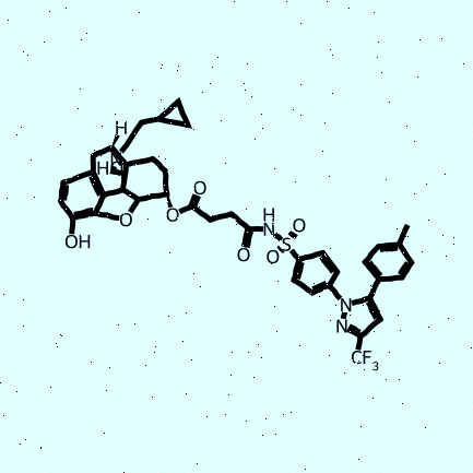 Cc1ccc(-c2cc(C(F)(F)F)nn2-c2ccc(S(=O)(=O)NC(=O)CCC(=O)O[C@@H]3CC[C@@]4(O)[C@H]5Cc6ccc(O)c7c6[C@@]4(CCN5CC4CC4)C3O7)cc2)cc1